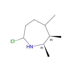 CC1CCC(Cl)N[C@H](C)[C@@H]1C